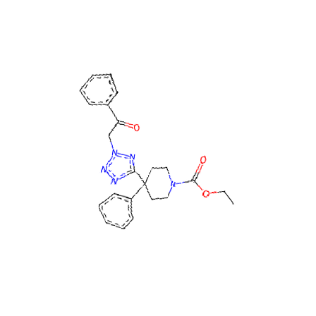 CCOC(=O)N1CCC(c2ccccc2)(c2nnn(CC(=O)c3ccccc3)n2)CC1